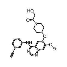 C#Cc1cccc(Nc2ncnc3cc(OCC)c(OC4CCN(C(=O)CO)CC4)cc23)c1